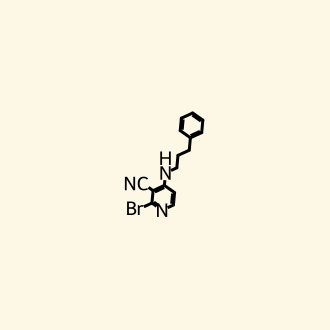 N#Cc1c(NCCCc2ccccc2)ccnc1Br